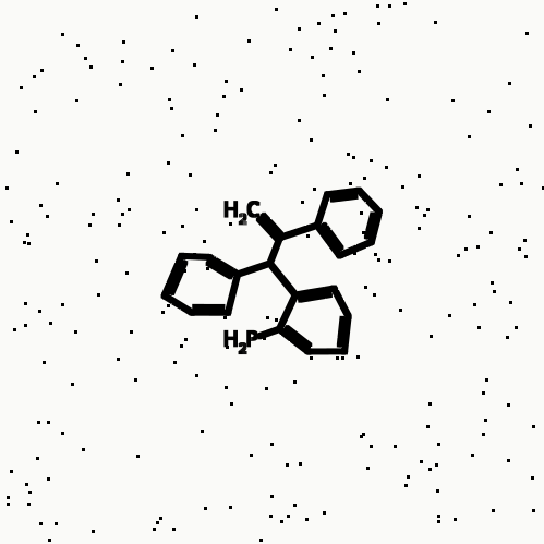 C=C(c1ccccc1)C(c1ccccc1)c1ccccc1P